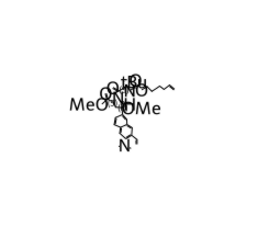 C=CCCCCOC(=O)N[C@H](C(=O)N1C[C@](OC)(c2ccc3cc(N(C)C)c(C=C)cc3c2)C[C@H]1C(=O)OC)C(C)(C)C